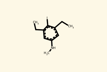 CCc1cc(NC)cc(CC)c1I